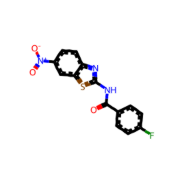 O=C(Nc1nc2ccc([N+](=O)[O-])cc2s1)c1ccc(F)cc1